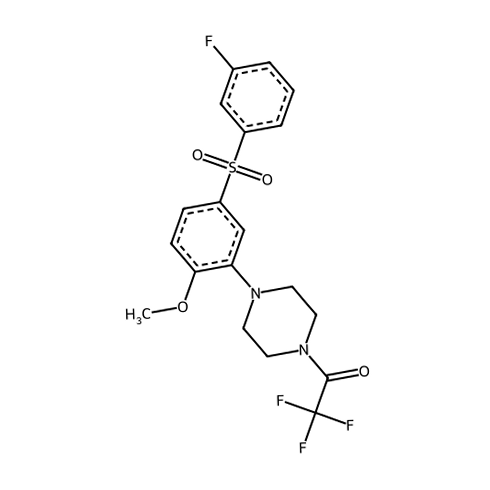 COc1ccc(S(=O)(=O)c2cccc(F)c2)cc1N1CCN(C(=O)C(F)(F)F)CC1